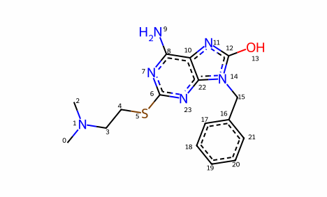 CN(C)CCSc1nc(N)c2nc(O)n(Cc3ccccc3)c2n1